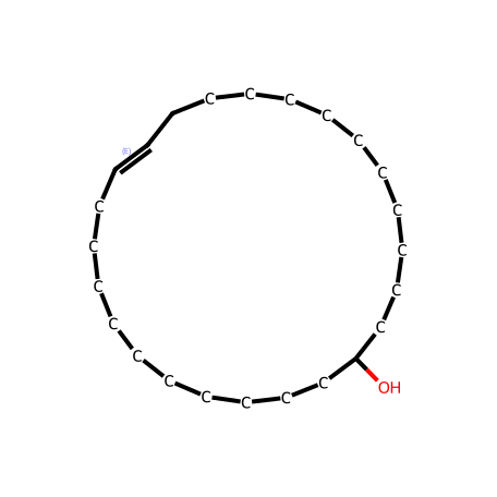 OC1CCCCCCCCCC/C=C/CCCCCCCCCCC1